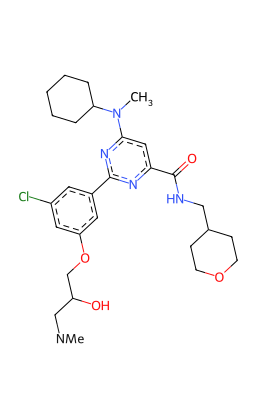 CNCC(O)COc1cc(Cl)cc(-c2nc(C(=O)NCC3CCOCC3)cc(N(C)C3CCCCC3)n2)c1